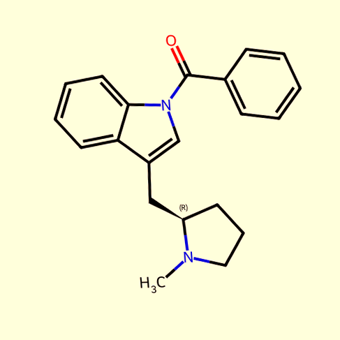 CN1CCC[C@@H]1Cc1cn(C(=O)c2ccccc2)c2ccccc12